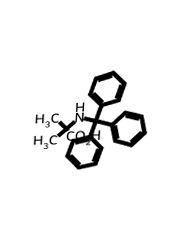 CC(C)(NC(c1ccccc1)(c1ccccc1)c1ccccc1)C(=O)O